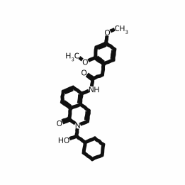 COc1ccc(CC(=O)Nc2cccc3c(=O)n(C(O)C4CCCCC4)ccc23)c(OC)c1